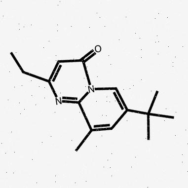 CCc1cc(=O)n2cc(C(C)(C)C)cc(C)c2n1